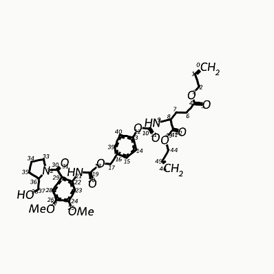 C=CCOC(=O)CCC(NC(=O)Oc1ccc(COC(=O)Nc2cc(OC)c(OC)cc2C(=O)N2CCCC2CO)cc1)C(=O)OCC=C